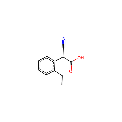 CCc1ccccc1C(C#N)C(=O)O